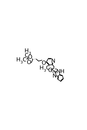 Cc1c(OCCC[C@@H]2COC(C)(C)O2)ccnc1C[S+]([O-])c1nc2ccccc2[nH]1